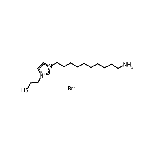 NCCCCCCCCCCn1cc[n+](CCS)c1.[Br-]